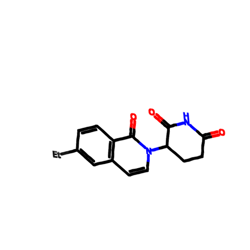 CCc1ccc2c(=O)n(C3CCC(=O)NC3=O)ccc2c1